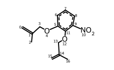 C=C(C)COc1cccc([N+](=O)[O-])c1OCC(=C)C